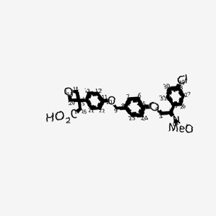 CO/N=C(\COc1ccc(COc2ccc(C3(CC(=O)O)COC3)cc2)cc1)c1ccc(Cl)cc1